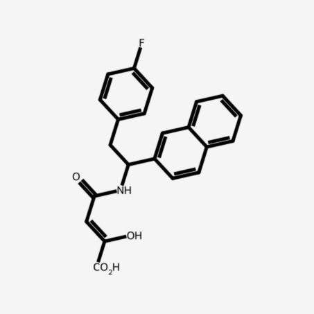 O=C(/C=C(\O)C(=O)O)NC(Cc1ccc(F)cc1)c1ccc2ccccc2c1